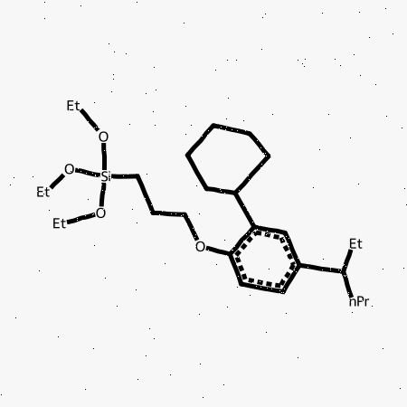 CCCC(CC)c1ccc(OCCC[Si](OCC)(OCC)OCC)c(C2CCCCC2)c1